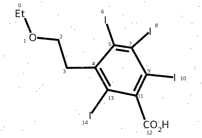 CCOCCc1c(I)c(I)c(I)c(C(=O)O)c1I